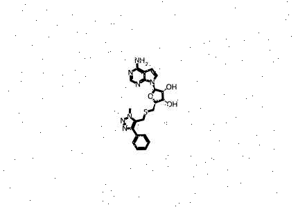 Cn1nnc(-c2ccccc2)c1CSC[C@H]1O[C@@H](n2ccc3c(N)ncnc32)[C@H](O)[C@@H]1O